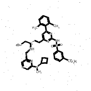 Cc1cccc(C)c1-c1cc(CC[C@@H](CC(C)(C)C)NCc2cncc(N(C)C3CCC3)n2)nc(NS(=O)(=O)c2cccc(C(=O)O)c2)n1